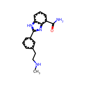 CNCCc1cccc(-c2nc3c(C(N)=O)cccc3[nH]2)c1